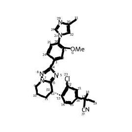 COc1cc(-c2nc3n(n2)CCC[C@H]3c2ccc(C(C)(C)C#N)cc2Cl)ccc1-n1cnc(C)c1